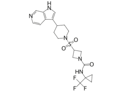 O=C(NC1(C(F)(F)F)CC1)N1CC(S(=O)(=O)N2CCC(c3c[nH]c4cnccc34)CC2)C1